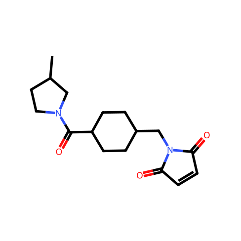 CC1CCN(C(=O)C2CCC(CN3C(=O)C=CC3=O)CC2)C1